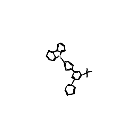 CC(C)(C)c1cc(-c2ccccc2)cc(-c2ccc(-n3c4ccccc4c4ccccc43)cc2)c1